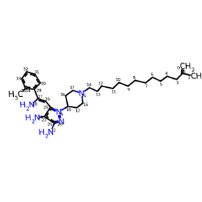 C=C(C)CCCCCCCCCCCCN1CCC(n2nc(N)c(N)c2/C=C(\N)c2ccccc2C)CC1